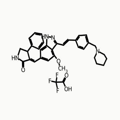 COc1cc(/C=C2/C(=O)NCC2c2ccccc2)cc2[nH]nc(/C=C/c3ccc(CN4CCCCC4)cc3)c12.O=C(O)C(F)(F)F